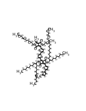 CCCCCCCCCCC(CCCCCCCC)CN1C(=O)C2=C(c3ccc(-c4ccc(C5=C6C(=O)N(CCOCCOCCOC)C(C)=C6C(=O)N5CCOCCOCCOC)s4)s3)N(CC(CCCCCCCC)CCCCCCCCCC)C(=O)C2=C1c1ccc(-c2ccc(C)s2)s1